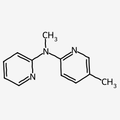 Cc1ccc(N(C)c2ccccn2)nc1